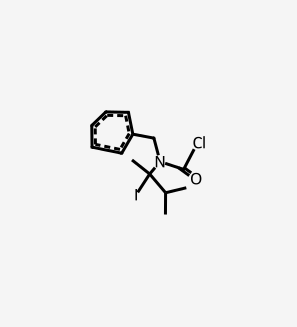 CC(C)C(C)(I)N(Cc1ccccc1)C(=O)Cl